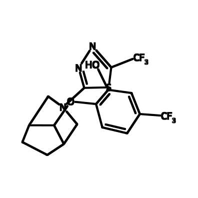 Oc1cc(C(F)(F)F)ccc1OC1C2CCC1CN(c1nnc(C(F)(F)F)s1)C2